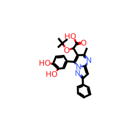 Cc1nc2cc(-c3ccccc3)nn2c(-c2ccc(O)c(O)c2)c1C(OC(C)(C)C)C(=O)O